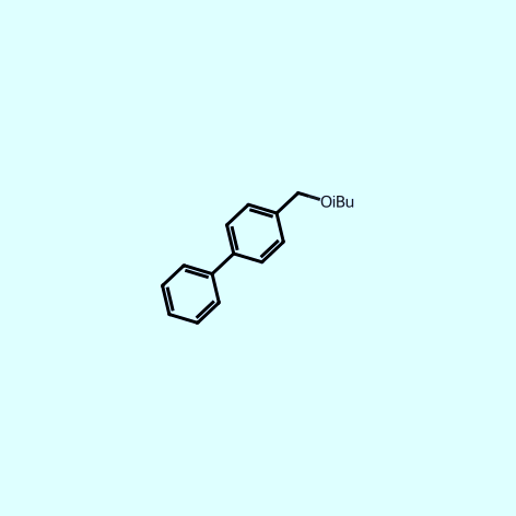 CC(C)COCc1ccc(-c2ccccc2)cc1